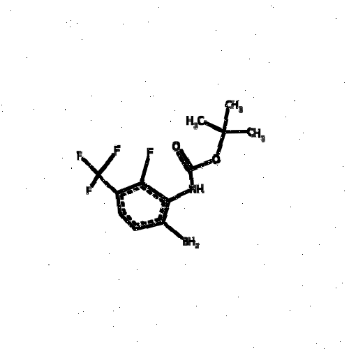 Bc1ccc(C(F)(F)F)c(F)c1NC(=O)OC(C)(C)C